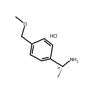 COCc1ccc([C@@H](C)N)cc1.Cl